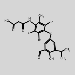 Cc1c(Br)c(Oc2cc(C=O)c(O)c(C(C)C)c2)c(Br)c(Cl)c1NC(=O)CC(=O)O